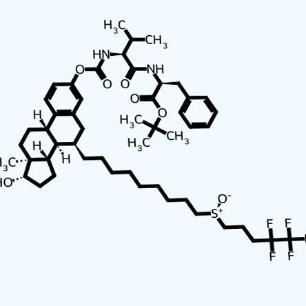 CC(C)[C@H](NC(=O)Oc1ccc2c(c1)C[C@@H](CCCCCCCCC[S@+]([O-])CCCC(F)(F)C(F)(F)F)[C@@H]1[C@@H]2CC[C@]2(C)[C@@H](O)CC[C@@H]12)C(=O)N[C@@H](Cc1ccccc1)C(=O)OC(C)(C)C